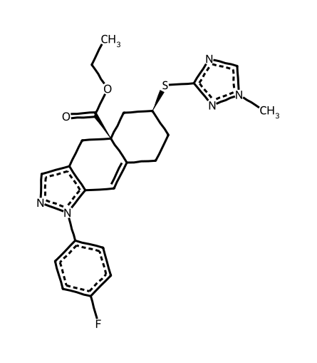 CCOC(=O)[C@]12Cc3cnn(-c4ccc(F)cc4)c3C=C1CC[C@H](Sc1ncn(C)n1)C2